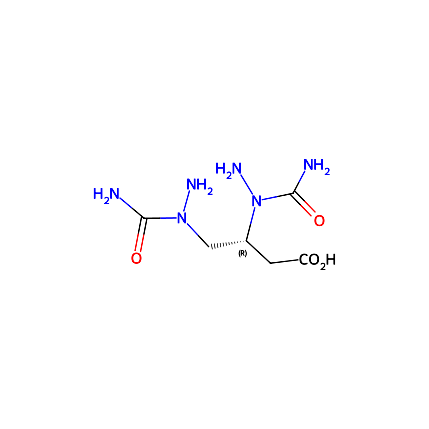 NC(=O)N(N)C[C@@H](CC(=O)O)N(N)C(N)=O